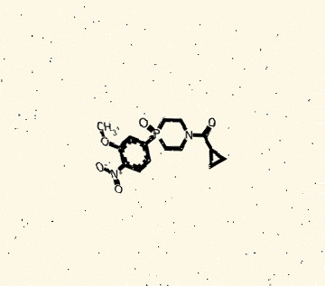 COc1cc(P2(=O)CCN(C(=O)C3CC3)CC2)ccc1[N+](=O)[O-]